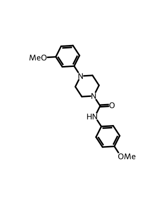 COc1ccc(NC(=O)N2CCN(c3cccc(OC)c3)CC2)cc1